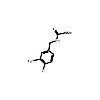 CNC(=O)NCc1ccc(Cl)c(C(F)(F)F)c1